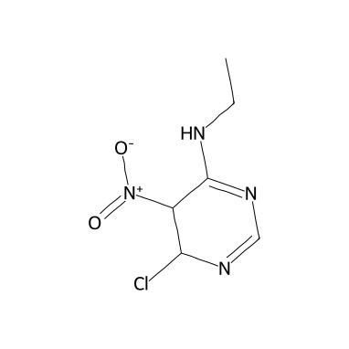 CCNC1=NC=NC(Cl)C1[N+](=O)[O-]